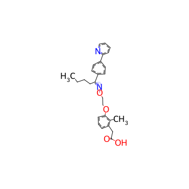 CCCC/C(=N\OCCOc1cccc(CC(=O)O)c1C)c1ccc(-c2ccccn2)cc1